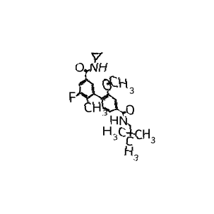 COc1cc(C(=O)NCC(C)(C)C)ccc1-c1cc(C(=O)NC2CC2)cc(F)c1C